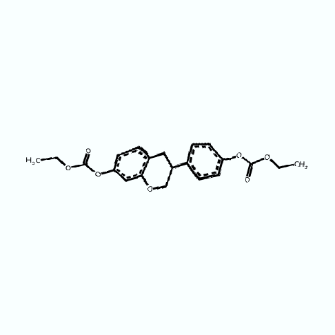 CCOC(=O)Oc1ccc(C2[CH]c3ccc(OC(=O)OCC)cc3OC2)cc1